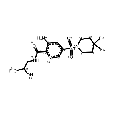 Nc1cc(S(=O)(=O)N2CCC(F)(F)CC2)cnc1C(=O)NCC(O)C(F)(F)F